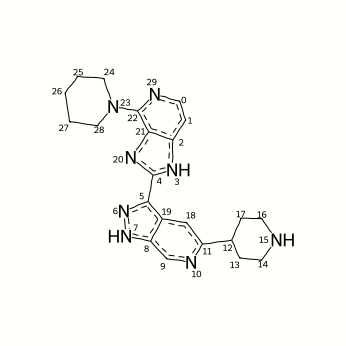 c1cc2[nH]c(-c3n[nH]c4cnc(C5CCNCC5)cc34)nc2c(N2CCCCC2)n1